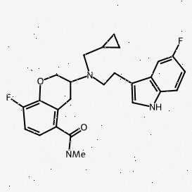 CNC(=O)c1ccc(F)c2c1CC(N(CCc1c[nH]c3ccc(F)cc13)CC1CC1)CO2